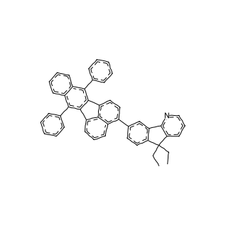 CCC1(CC)c2ccc(-c3ccc4c5c(cccc35)-c3c-4c(-c4ccccc4)c4ccccc4c3-c3ccccc3)cc2-c2ncccc21